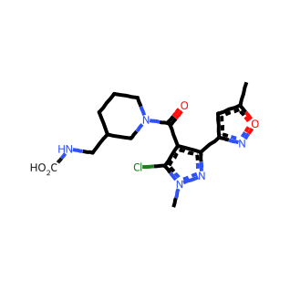 Cc1cc(-c2nn(C)c(Cl)c2C(=O)N2CCCC(CNC(=O)O)C2)no1